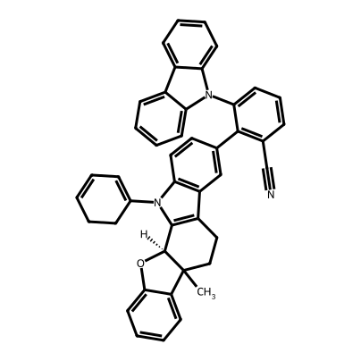 CC12CCc3c(n(C4=CC=CCC4)c4ccc(-c5c(C#N)cccc5-n5c6ccccc6c6ccccc65)cc34)[C@@H]1Oc1ccccc12